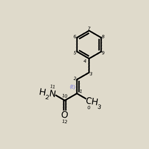 C/C(=C\Cc1ccccc1)C(N)=O